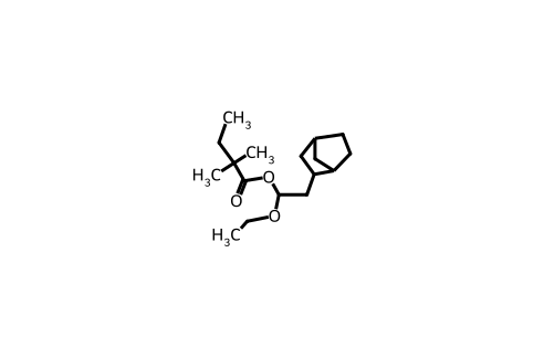 CCOC(CC1CC2CCC1C2)OC(=O)C(C)(C)CC